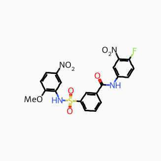 COc1ccc([N+](=O)[O-])cc1NS(=O)(=O)c1cccc(C(=O)Nc2ccc(F)c([N+](=O)[O-])c2)c1